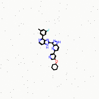 Cc1cc(F)cc(-c2nccc3[nH]c(-c4n[nH]c5ccc(-c6cncc(OC7CCCCC7)c6)nc45)nc23)c1